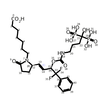 O=C(O)CCCCCCN1C(=O)CC[C@@H]1/C=C/[C@@H](OC(=O)NCCCC(O)(P(=O)(O)O)P(=O)(O)O)C(F)(F)c1ccccc1